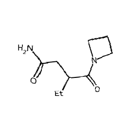 CCC(CC(N)=O)C(=O)N1CCC1